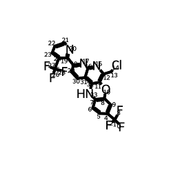 FC(F)(F)c1ccc2c(c1)Oc1c(CCl)nc3nc(-c4ncccc4C(F)(F)F)ccc3c1N2